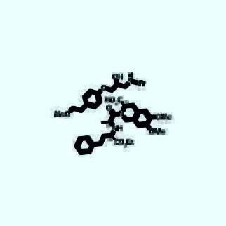 CCOC(=O)[C@H](CCc1ccccc1)N[C@@H](C)C(=O)N1Cc2cc(OC)c(OC)cc2C[C@H]1C(=O)O.COCCc1ccc(OCC(O)CNC(C)C)cc1